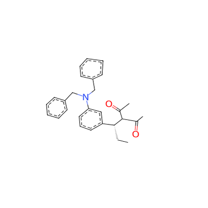 CC[C@H](c1cccc(N(Cc2ccccc2)Cc2ccccc2)c1)C(C(C)=O)C(C)=O